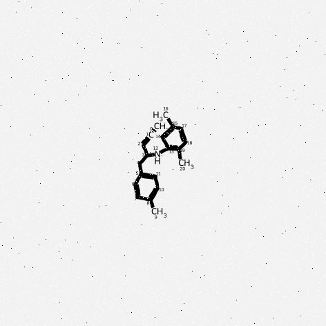 C=C=CC(Cc1ccc(C)cc1)Nc1cc(C)ccc1C